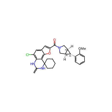 C=C1Nc2c(Cl)cc3cc(C(=O)N4C[C@@H]5[C@H](C4)[C@H]5c4ccccc4OC)oc3c2C2(CCCCC2)N1